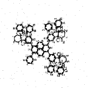 CC12CCCCC1(C)[Si](c1ccccc1)(c1ccccc1)c1ccc(-c3cc(-c4ccccc4)c4ccc5c(-c6ccc7c(c6)C6(C)CCCCC6(C)[Si]7(c6ccccc6)c6ccccc6)cc(-c6ccc7c(c6)C6(C)CCCCC6(C)[Si]7(c6ccccc6)c6ccccc6)c6ccc3c4c56)cc12